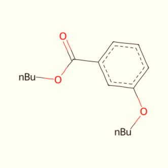 CCCCOC(=O)c1cccc(OCCCC)c1